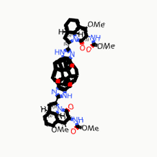 COC(=O)NC1C(=O)N2[C@H](c3nc4cc(-c5cc6ccc5CCc5ccc(c(-c7ccc8[nH]c([C@@H]9C[C@@H]%10CCCC%11[C@@H](OC)[C@H](NC(=O)OC)C(=O)N9[C@@H]%11%10)nc8c7)c5)CC6)ccc4[nH]3)C[C@@H]3CCCC([C@H]1OC)[C@@H]32